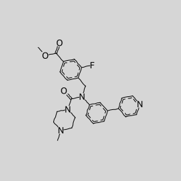 COC(=O)c1ccc(CN(C(=O)N2CCN(C)CC2)c2cccc(-c3ccncc3)c2)c(F)c1